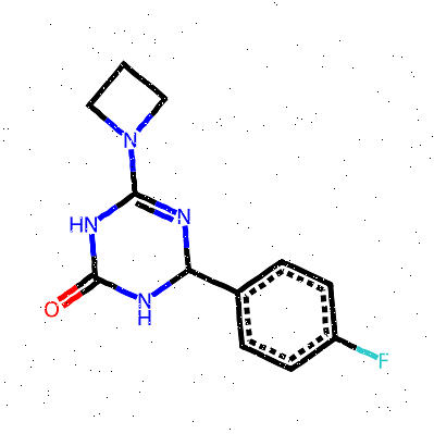 O=C1NC(N2CCC2)=NC(c2ccc(F)cc2)N1